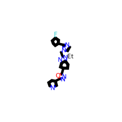 CCn1c(Cn2ccnc2-c2cccc(F)c2)nc2cc(-c3nnc(-c4cccnc4)o3)ccc21